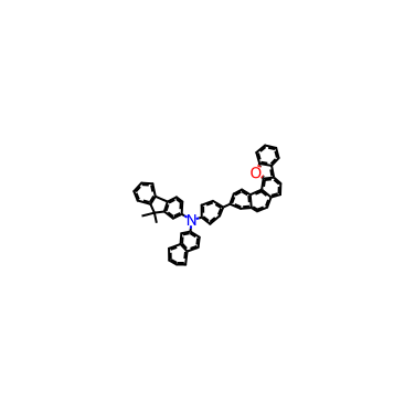 CC1(C)c2ccccc2-c2ccc(N(c3ccc(-c4ccc5c(ccc6ccc7c8ccccc8oc7c65)c4)cc3)c3ccc4ccccc4c3)cc21